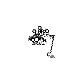 CCCC/C=C\C/C=C\CCCCCCCCC1OCC(COC(=O)O[C@@H](C(=O)O[C@H]2C[C@@]3(O)[C@@H](OC(=O)c4ccccc4)[C@@H]4[C@]5(O)CO[C@@H]5C[C@H](O)[C@@]4(C)C(=O)[C@H](OC(C)=O)C(=C2C)C3(C)C)[C@@H](NC(=O)c2ccccc2)c2ccccc2)O1